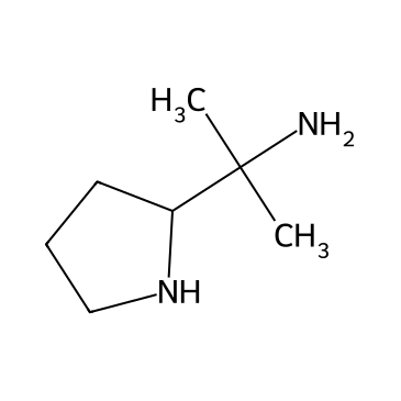 CC(C)(N)C1CCCN1